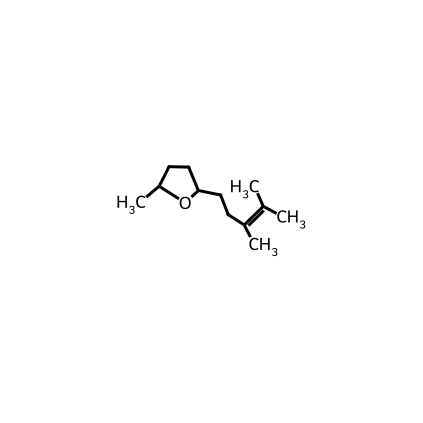 CC(C)=C(C)CCC1CCC(C)O1